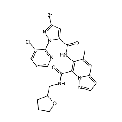 Cc1cc2ccnn2c(C(=O)NCC2CCCO2)c1NC(=O)c1cc(Br)nn1-c1ncccc1Cl